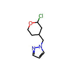 ClC1CC(Cn2cccn2)CCO1